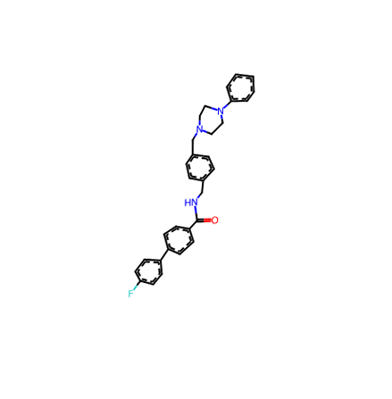 O=C(NCc1ccc(CN2CCN(c3ccccc3)CC2)cc1)c1ccc(-c2ccc(F)cc2)cc1